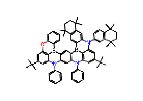 CC(C)(C)c1cc2c3c(c1)N(c1ccccc1)c1cc4c(cc1B3c1ccccc1O2)B1c2cc3c(cc2N(c2ccc5c(c2)C(C)(C)CCC5(C)C)c2cc(C(C)(C)C)cc(c21)N4c1ccccc1)C(C)(C)CCC3(C)C